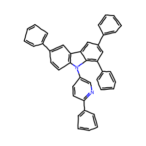 c1ccc(-c2ccc3c(c2)c2cc(-c4ccccc4)cc(-c4ccccc4)c2n3-c2ccc(-c3ccccc3)nc2)cc1